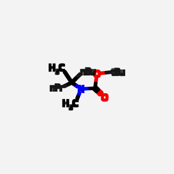 CCCCC(C)(CCC)N(C)C(=O)OC(C)(C)C